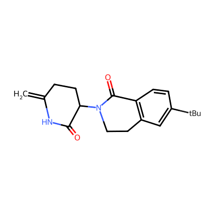 C=C1CCC(N2CCc3cc(C(C)(C)C)ccc3C2=O)C(=O)N1